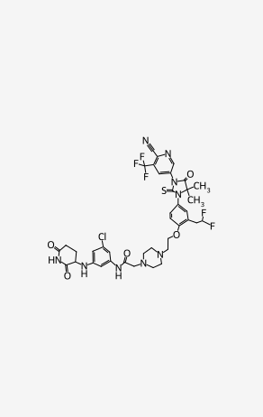 CC1(C)C(=O)N(c2cnc(C#N)c(C(F)(F)F)c2)C(=S)N1c1ccc(OCCN2CCN(CC(=O)Nc3cc(Cl)cc(NC4CCC(=O)NC4=O)c3)CC2)c(CC(F)F)c1